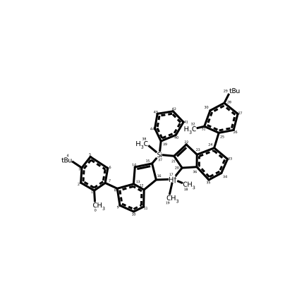 Cc1cc(C(C)(C)C)ccc1-c1cccc2c1C=C1[CH]2[Hf]([CH3])([CH3])[CH]2C(=Cc3c(-c4ccc(C(C)(C)C)cc4C)cccc32)[Si]1(C)c1ccccc1